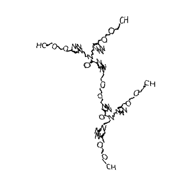 C#CCOCCOCc1cn(CCN(CCn2cc(COCCOCC#C)nn2)C(=O)c2cn(CCOCCOCCn3cc(C(=O)N(CCn4cc(COCCOCC#C)nn4)CCn4cc(COCCOCC#C)nn4)nn3)nn2)nn1